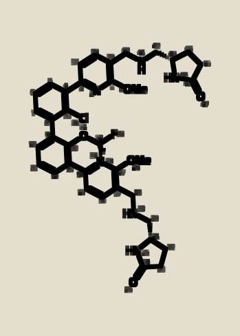 COc1nc(-c2cccc(-c3cccc(-c4ccc(CNC[C@@H]5CCC(=O)N5)c(OC)n4)c3OC(F)F)c2Cl)ccc1CNC[C@@H]1CCC(=O)N1